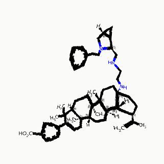 C=C(C)[C@@H]1CC[C@]2(NCCNC[C@@H]3C4C[C@H]4CN3Cc3ccccc3)CC[C@]3(C)[C@H](CC[C@@H]4[C@@]5(C)CC=C(c6ccc(C(=O)O)cc6)C(C)(C)[C@@H]5CC[C@]43C)[C@@H]12